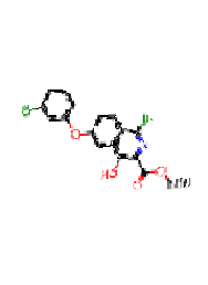 CCCCOC(=O)c1nc(Br)c2ccc(Oc3cccc(Cl)c3)cc2c1O